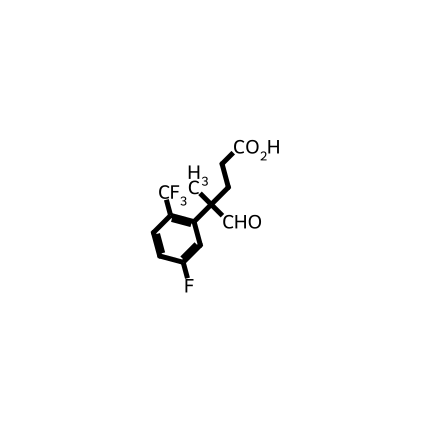 CC(C=O)(CCC(=O)O)c1cc(F)ccc1C(F)(F)F